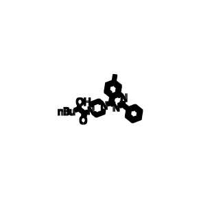 CCCCC(O)C(=O)N1CCN(c2nc(-c3ccccc3)nc3cc(C)ccc23)CC1